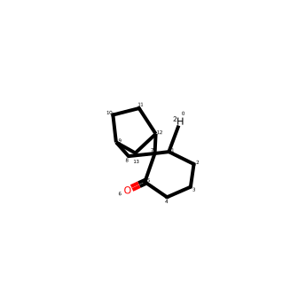 [2H]C1CCCC(=O)C12CC1CCC2C1